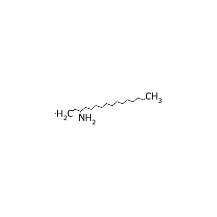 [CH2]CC(N)CCCCCCCCCCCCC